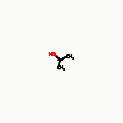 [CH3][Sn]([CH3])[OH]